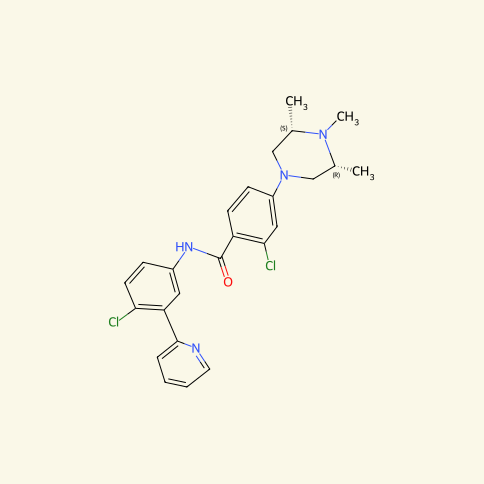 C[C@@H]1CN(c2ccc(C(=O)Nc3ccc(Cl)c(-c4ccccn4)c3)c(Cl)c2)C[C@H](C)N1C